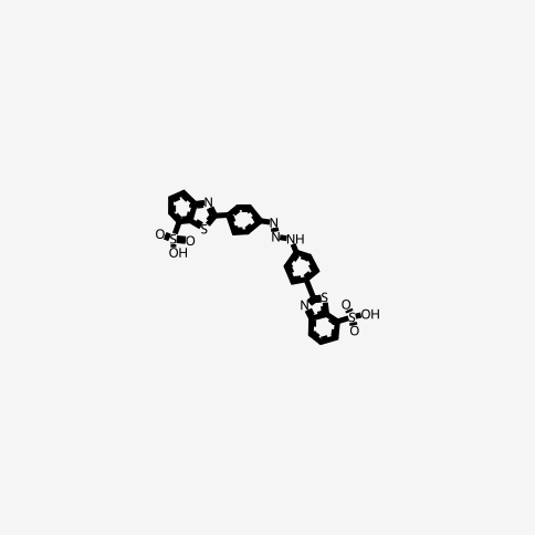 O=S(=O)(O)c1cccc2nc(-c3ccc(N=NNc4ccc(-c5nc6cccc(S(=O)(=O)O)c6s5)cc4)cc3)sc12